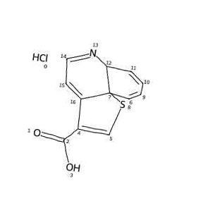 Cl.O=C(O)C1=CSC23C=CC=CC2N=CC=C13